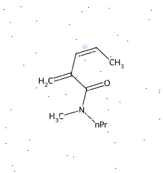 C=C(/C=C\C)C(=O)N(C)CCC